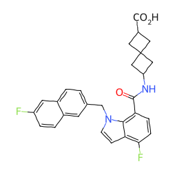 O=C(NC1CC2(C1)CC(C(=O)O)C2)c1ccc(F)c2ccn(Cc3ccc4cc(F)ccc4c3)c12